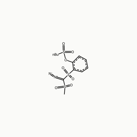 CCCCS(=O)(=O)Oc1ccccc1S(=O)(=O)C(=[N+]=[N-])S(C)(=O)=O